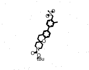 Cc1cc(-c2ccc3c(c2)CCC2(CCN(C(=O)OC(C)(C)C)CC2)O3)ccc1CS(C)(=O)=O